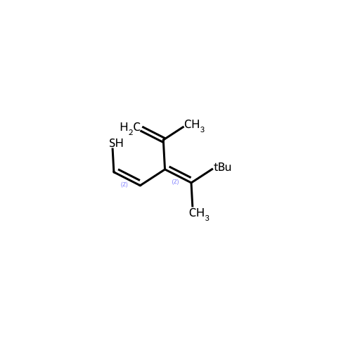 C=C(C)C(/C=C\S)=C(/C)C(C)(C)C